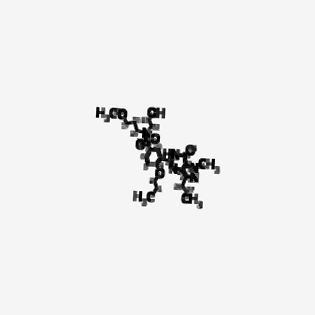 CCCOc1ccc(S(=O)(=O)N(CCO)CCCOC)cc1-c1nc2c(CCC)nn(C)c2c(=O)[nH]1